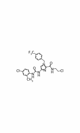 Cc1cc(Cl)ccc1NC(=O)Nc1cn(Cc2ccc(C(F)(F)F)cc2)c(C(=O)NCCCl)n1